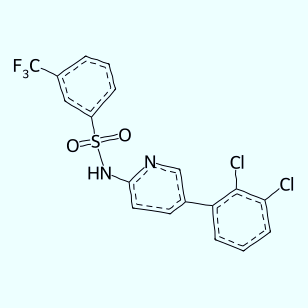 O=S(=O)(Nc1ccc(-c2cccc(Cl)c2Cl)cn1)c1cccc(C(F)(F)F)c1